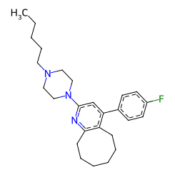 CCCCCN1CCN(c2cc(-c3ccc(F)cc3)c3c(n2)CCCCCC3)CC1